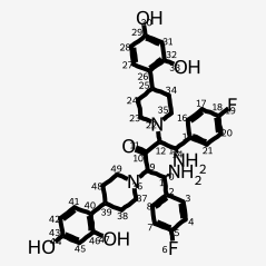 N[C@H](c1ccc(F)cc1)C(C(=O)C([C@H](N)c1ccc(F)cc1)N1CCC(c2ccc(O)cc2O)CC1)N1CCC(c2ccc(O)cc2O)CC1